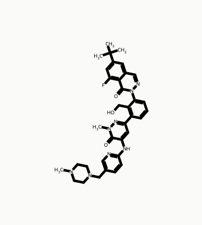 CN1CCN(Cc2ccc(Nc3cc(-c4cccc(-n5ncc6cc(C(C)(C)C)cc(F)c6c5=O)c4CO)nn(C)c3=O)nc2)CC1